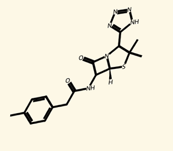 Cc1ccc(CC(=O)NC2C(=O)N3C(c4nnn[nH]4)C(C)(C)S[C@H]23)cc1